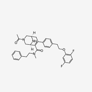 CC(=O)N1C[C@H]2CC(c3ccc(CCOc4cc(F)ccc4F)cc3)=C(C(=O)N(C)CCc3ccccc3)[C@@H](C1)N2